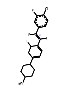 CCCC1CCC(C2=CC=C(/C(F)=C(\F)c3ccc(Cl)c(F)c3)C(F)C2)CC1